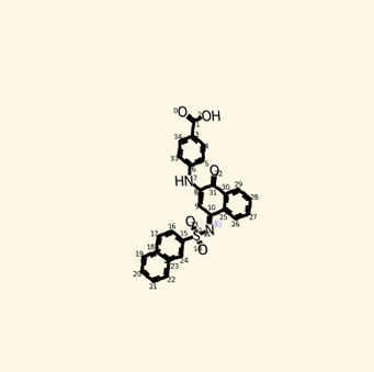 O=C(O)c1ccc(NC2=C/C(=N\S(=O)(=O)c3ccc4ccccc4c3)c3ccccc3C2=O)cc1